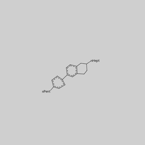 CCCCCCCC1CCc2cc(-c3ccc(CCCCC)cc3)ccc2C1